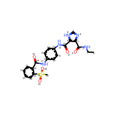 CCNC(=O)c1nc[nH]c1C(=O)Nc1ccc(NC(=O)c2ccccc2S(C)(=O)=O)cc1